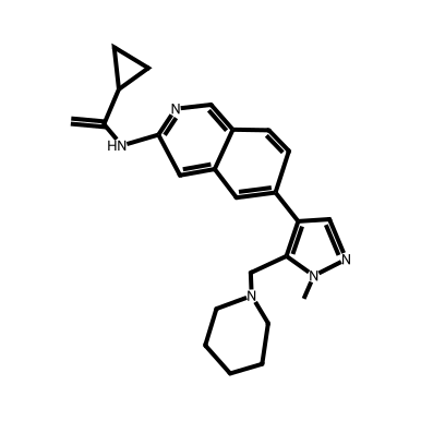 C=C(Nc1cc2cc(-c3cnn(C)c3CN3CCCCC3)ccc2cn1)C1CC1